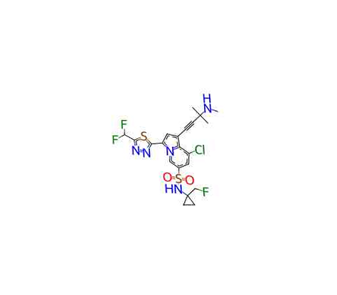 CNC(C)(C)C#Cc1cc(-c2nnc(C(F)F)s2)n2cc(S(=O)(=O)NC3(CF)CC3)cc(Cl)c12